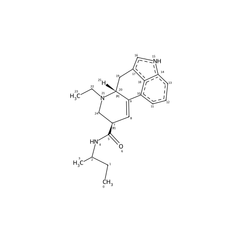 CCC(C)NC(=O)[C@@H]1C=C2c3cccc4[nH]cc(c34)C[C@H]2N(CC)C1